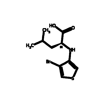 CC(C)C[C@H](Nc1cscc1Br)C(=O)O